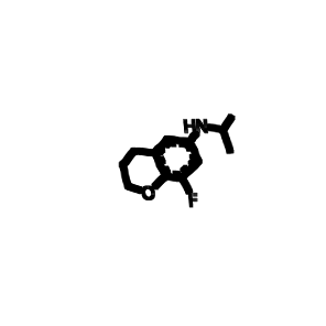 CC(C)Nc1cc(F)c2c(c1)CCCO2